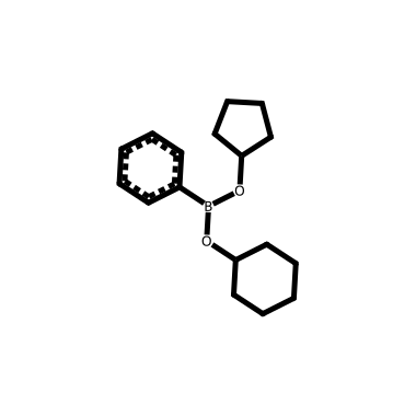 c1ccc(B(OC2CCCCC2)OC2CCCC2)cc1